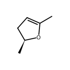 CC1=CC[C@H](C)O1